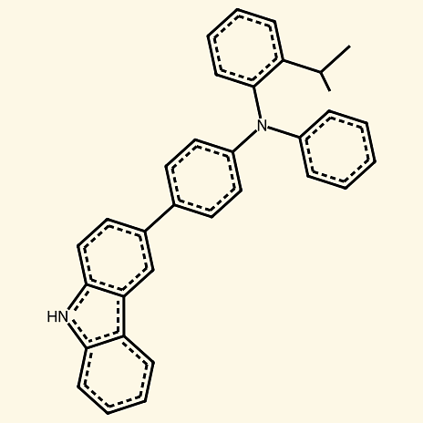 CC(C)c1ccccc1N(c1ccccc1)c1ccc(-c2ccc3[nH]c4ccccc4c3c2)cc1